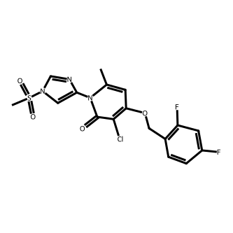 Cc1cc(OCc2ccc(F)cc2F)c(Cl)c(=O)n1-c1cn(S(C)(=O)=O)cn1